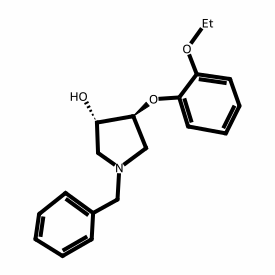 CCOc1ccccc1O[C@H]1CN(Cc2ccccc2)C[C@@H]1O